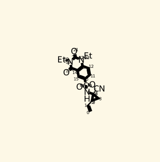 C=C[C@@H]1C[C@]1(C#N)NS(=O)(=O)c1ccc2c(c1)c(=O)n(CC)c(=O)n2CC